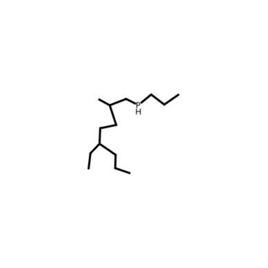 CCCPCC(C)CCC(CC)CCC